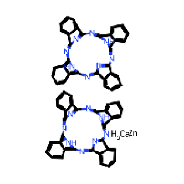 [CaH2].[Zn].c1ccc2c(c1)-c1nc-2nc2[nH]c(nc3nc(nc4[nH]c(n1)c1ccccc41)-c1ccccc1-3)c1ccccc21.c1ccc2c(c1)-c1nc-2nc2[nH]c(nc3nc(nc4[nH]c(n1)c1ccccc41)-c1ccccc1-3)c1ccccc21